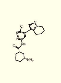 N[C@H]1CCC[C@H](C(=O)Nc2cc(-c3cnn4c3CCCC4)c(Cl)cn2)C1